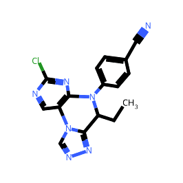 CCC1c2nncn2-c2cnc(Cl)nc2N1c1ccc(C#N)cc1